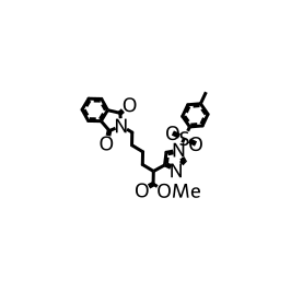 COC(=O)C(CCCCN1C(=O)c2ccccc2C1=O)c1cn(S(=O)(=O)c2ccc(C)cc2)cn1